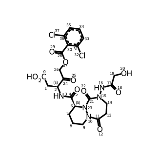 O=C(O)C[C@H](NC(=O)[C@@H]1CCCN2C(=O)CCN(NC(=O)CO)C(=O)N12)C(=O)COC(=O)c1c(Cl)cccc1Cl